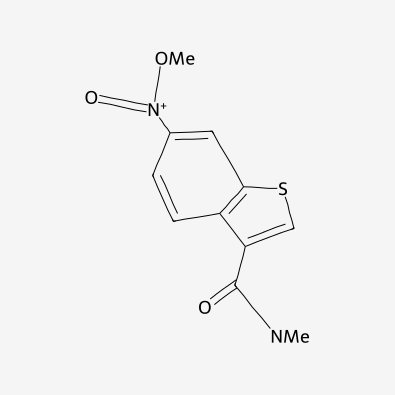 CNC(=O)c1csc2cc([N+](=O)OC)ccc12